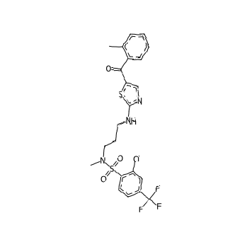 Cc1ccccc1C(=O)c1cnc(NCCCN(C)S(=O)(=O)c2ccc(C(F)(F)F)cc2Cl)s1